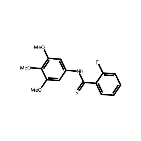 COc1cc(NC(=S)c2ccccc2F)cc(OC)c1OC